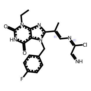 CCn1c(=O)[nH]c(=O)c2c1nc(/C(C)=C/N=C(/Cl)C=N)n2Cc1ccc(F)cc1